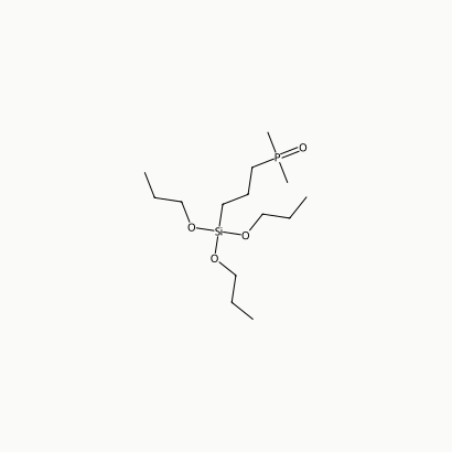 CCCO[Si](CCCP(C)(C)=O)(OCCC)OCCC